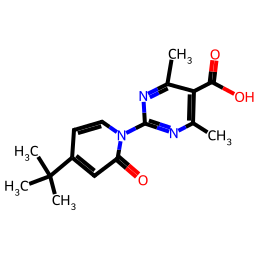 Cc1nc(-n2ccc(C(C)(C)C)cc2=O)nc(C)c1C(=O)O